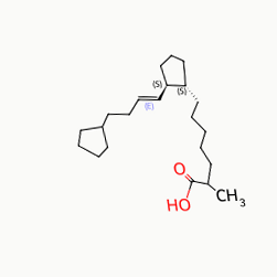 CC(CCCCC[C@H]1CCC[C@@H]1/C=C/CCC1CCCC1)C(=O)O